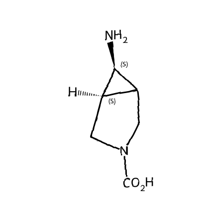 N[C@H]1C2CN(C(=O)O)C[C@H]21